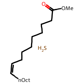 CCCCCCCC/C=C\CCCCCCCC(=O)OC.S